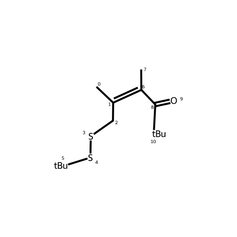 C/C(CSSC(C)(C)C)=C(\C)C(=O)C(C)(C)C